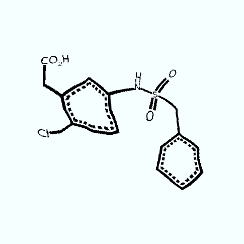 O=C(O)Cc1cc(NS(=O)(=O)Cc2ccccc2)ccc1Cl